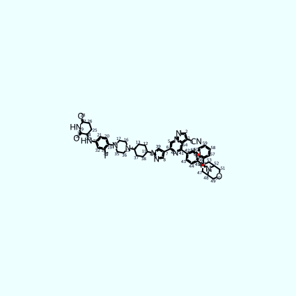 N#Cc1cnn2cc(-c3cnn(C4CCC(N5CCN(c6ccc(NC7CCC(=O)NC7=O)cc6F)CC5)CC4)c3)nc(-c3ccc(N4CC5COCC(C4)N5Cc4ccccn4)nc3)c12